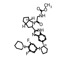 COC(=O)NCC(=O)N1C(c2nc3cc([C@H]4CCCN4c4cc(F)c(N5CCCCC5)c(F)c4)ccc3[nH]2)C[C@@H]2CCC[C@@H]21